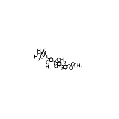 CCC(O)(/C=C/c1ccc(C(CC)(CC)c2ccc(-c3cccc(CC(=O)OC)c3)cc2)cc1C)CC